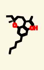 C=C(C)[C@@H]1CC[C@](C)(CC)Oc2cc(CCCCC)cc(O)c21